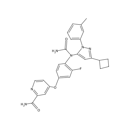 Cc1cccc(-n2nc(C3CCC3)cc2N(C(N)=O)c2ccc(Oc3ccnc(C(N)=O)c3)cc2F)c1